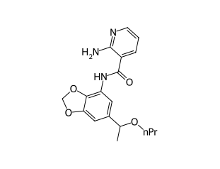 CCCOC(C)c1cc(NC(=O)c2cccnc2N)c2c(c1)OCO2